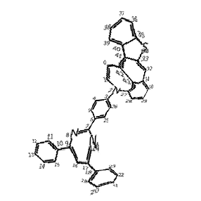 C1=CN(c2ccc(-c3nc(-c4ccccc4)cc(-c4ccccc4)n3)cc2)c2cccc3cc4sc5ccccc5c4c1c23